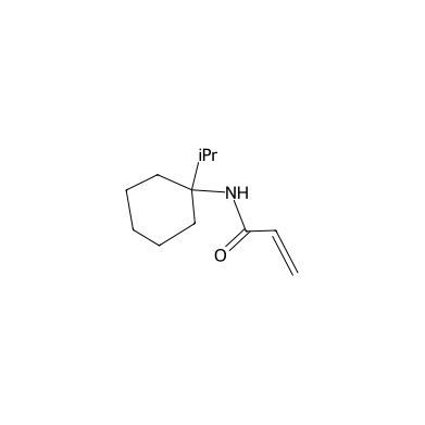 C=CC(=O)NC1(C(C)C)CCCCC1